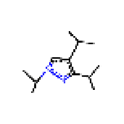 CC(C)c1cn(C(C)C)nc1C(C)C